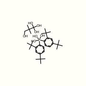 CC(C)(C)c1ccc(P(O)(O)(O)c2ccc(C(C)(C)C)cc2C(C)(C)C)c(C(C)(C)C)c1.CC(C)(CO)C(O)(O)O